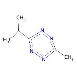 Cc1nnc(C(C)C)nn1